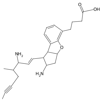 CC#CCC(C)C(N)/C=C/C1C(N)CC2Oc3c(CCCC(=O)O)cccc3C21